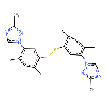 Cc1cc(C)c(-n2cnc(C(F)(F)F)n2)cc1SSc1cc(-n2cnc(C(F)(F)F)n2)c(C)cc1C